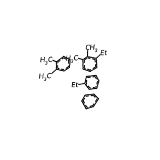 CCc1cccc(C)c1C.CCc1ccccc1.Cc1ccccc1C.c1ccccc1